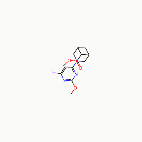 COC(=O)C1C2CC1CN(c1cc(I)nc(OC)n1)C2